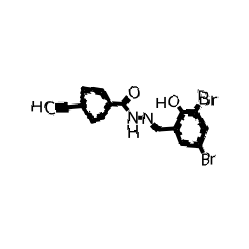 C#Cc1ccc(C(=O)NN=Cc2cc(Br)cc(Br)c2O)cc1